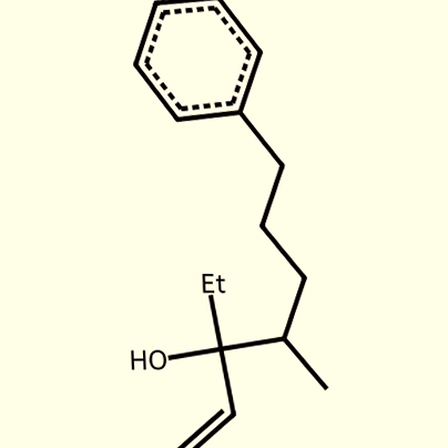 C=CC(O)(CC)C(C)CCCc1ccccc1